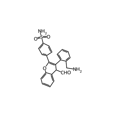 NCc1ccccc1C1=C(c2ccc(S(N)(=O)=O)cc2)Oc2ccccc2C1C=O